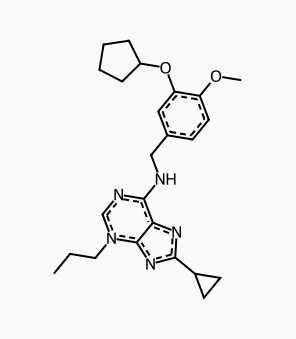 CCCn1cnc(NCc2ccc(OC)c(OC3CCCC3)c2)c2nc(C3CC3)nc1-2